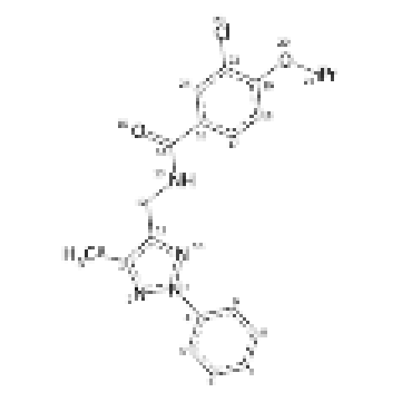 Cc1nn(-c2ccccc2)nc1CNC(=O)c1ccc(OC(C)C)c(Cl)c1